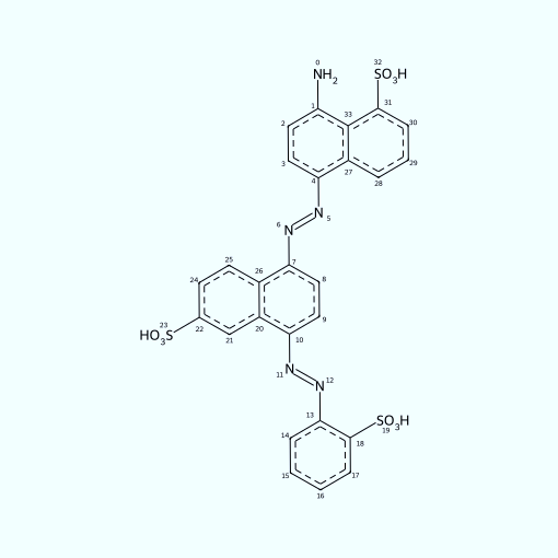 Nc1ccc(N=Nc2ccc(N=Nc3ccccc3S(=O)(=O)O)c3cc(S(=O)(=O)O)ccc23)c2cccc(S(=O)(=O)O)c12